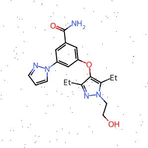 CCc1nn(CCO)c(CC)c1Oc1cc(C(N)=O)cc(-n2cccn2)c1